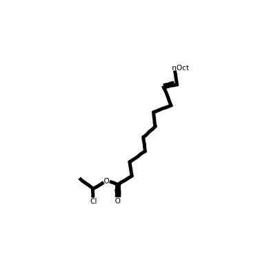 CCCCCCCCC=CCCCCCCCC(=O)OC(C)Cl